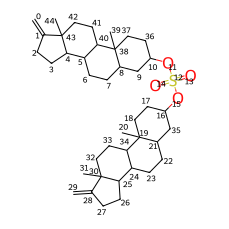 C=C1CCC2C3CCC4CC(OS(=O)(=O)OC5CCC6(C)C(CCC7C8CCC(=C)C8(C)CCC76)C5)CCC4(C)C3CCC12C